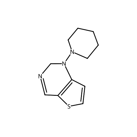 C1=NCN(N2CCCCC2)c2ccsc21